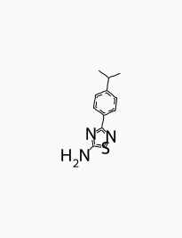 CC(C)c1ccc(-c2nsc(N)n2)cc1